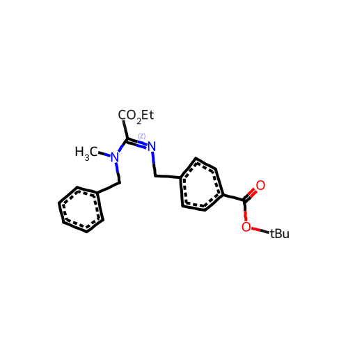 CCOC(=O)/C(=N/Cc1ccc(C(=O)OC(C)(C)C)cc1)N(C)Cc1ccccc1